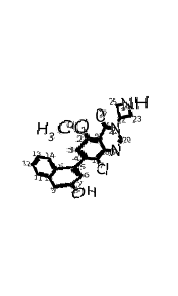 COc1cc(-c2cc(O)cc3ccccc23)c(Cl)c2ncn(C3CNC3)c(=O)c12